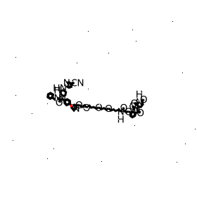 N#Cc1ccc(N[C@H]2CC[C@H](N(C(=O)NCc3ccccc3)c3ccc(-c4ccnc(OCCOCCCCOCCCOCCCCNC(=O)COc5cccc6c5C(=O)N(C5CCC(=O)NC5=O)C6=O)c4)cc3)CC2)nc1